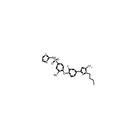 N#Cc1cc(S(=O)(=O)Nc2nccs2)ccc1Oc1ccc(-c2cc(C(F)(F)F)n(CCCF)n2)cc1F